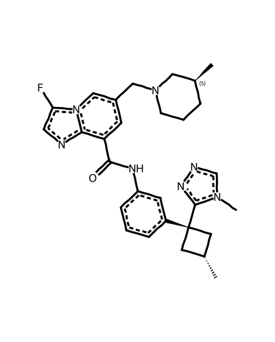 C[C@H]1CCCN(Cc2cc(C(=O)Nc3cccc([C@]4(c5nncn5C)C[C@@H](C)C4)c3)c3ncc(F)n3c2)C1